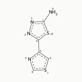 Nc1nnc(-c2cscn2)s1